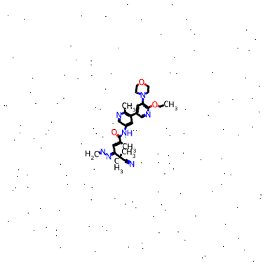 C=N/N=C(\C=C(/C)C(=O)Nc1cnc(C)c(-c2cnc(OCC)c(N3CCOCC3)c2)c1)C(C)(C)C#N